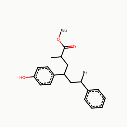 CCC(CC(CC(C)C(=O)OC(C)(C)C)c1ccc(O)cc1)c1ccccc1